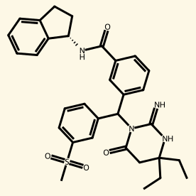 CCC1(CC)CC(=O)N(C(c2cccc(C(=O)N[C@H]3CCc4ccccc43)c2)c2cccc(S(C)(=O)=O)c2)C(=N)N1